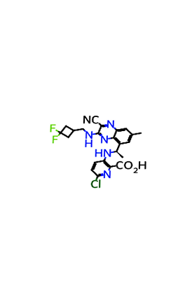 Cc1cc([C@@H](C)Nc2ccc(Cl)nc2C(=O)O)c2nc(NCC3CC(F)(F)C3)c(C#N)nc2c1